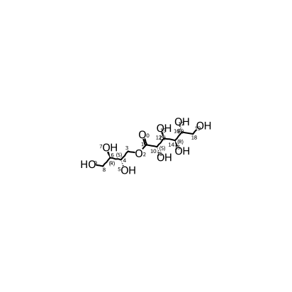 O=C(OC[C@H](O)[C@H](O)CO)[C@@H](O)[C@@H](O)[C@H](O)[C@H](O)CO